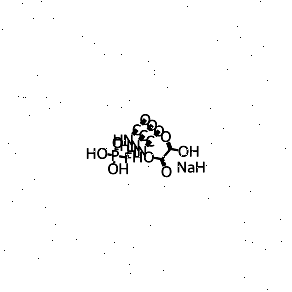 N=C=O.N=C=O.N=C=O.O=C(O)C(=O)O.O=P(O)(O)F.[NaH]